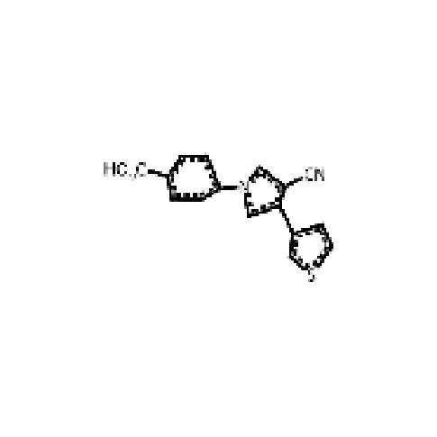 N#Cc1cn(-c2ccc(C(=O)O)cc2)cc1-c1ccsc1